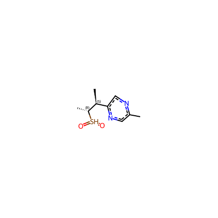 Cc1cnc([C@H](C)[C@@H](C)[SH](=O)=O)cn1